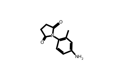 Cc1cc(N)ccc1N1C(=O)CCC1=O